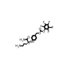 NCCC[C@H](Nc1ccc(COC(=O)Oc2c(F)c(F)c(F)c(F)c2F)cc1)C(N)=O